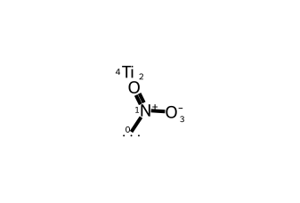 [C][N+](=O)[O-].[Ti]